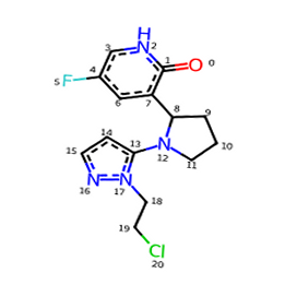 O=c1[nH]cc(F)cc1C1CCCN1c1ccnn1CCCl